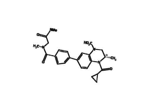 CNC(=O)CN(C)C(=O)c1ccc(-c2ccc3c(c2)N(C(=O)O)C[C@H](C)N3C(=O)C2CC2)cc1